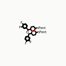 CCCCCC1CCC(C(OC(c2ccc(F)c(F)c2)C2CCC(CCCCC)CC2)c2ccc(F)c(F)c2)CC1